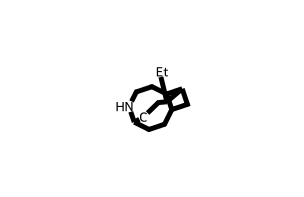 CCC1CCC2CCC3CC1C3CCN2